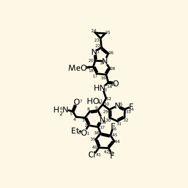 CCOc1c(CC(N)=O)cc([C@@](O)(CNC(=O)c2cc(OC)c3nc(C4CC4)cn3c2)c2cccc(F)n2)nc1-c1cc(Cl)c(F)cc1F